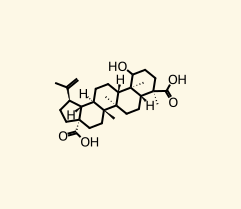 C=C(C)[C@@H]1CC[C@]2(C(=O)O)CC[C@]3(C)[C@H](CC[C@@H]4[C@@]5(C)C(O)CC[C@@](C)(C(=O)O)[C@@H]5CC[C@]43C)[C@@H]12